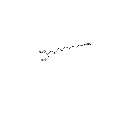 CCCCCCCCCCCCCCCCCCOCC(CNC)OC